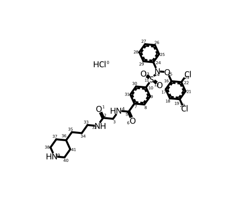 Cl.O=C(CNC(=O)c1ccc(S(=O)(=O)N(Oc2ccc(Cl)cc2Cl)c2ccccc2)cc1)NCCCC1CCNCC1